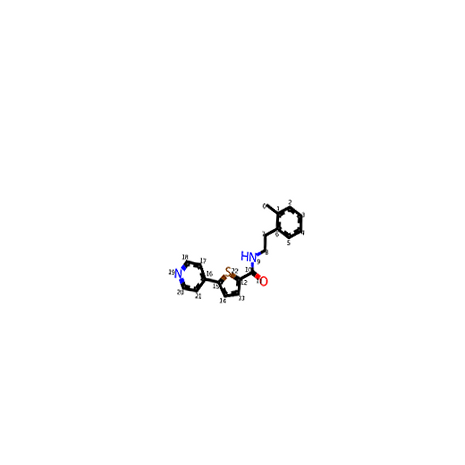 Cc1ccccc1CCNC(=O)c1ccc(-c2ccncc2)s1